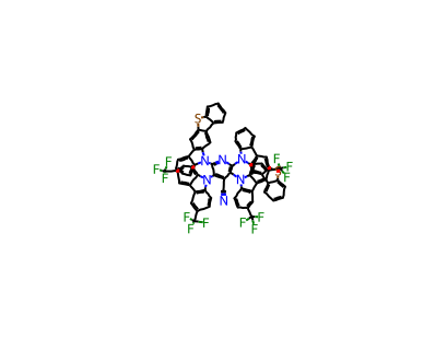 N#Cc1c(-n2c3ccc(C(F)(F)F)cc3c3cc(C(F)(F)F)ccc32)c(-n2c3ccccc3c3cc4sc5ccccc5c4cc32)nc(-n2c3ccccc3c3cc4sc5ccccc5c4cc32)c1-n1c2ccc(C(F)(F)F)cc2c2cc(C(F)(F)F)ccc21